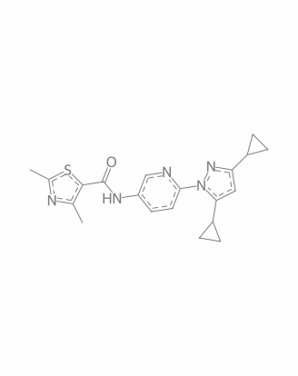 Cc1nc(C)c(C(=O)Nc2ccc(-n3nc(C4CC4)cc3C3CC3)nc2)s1